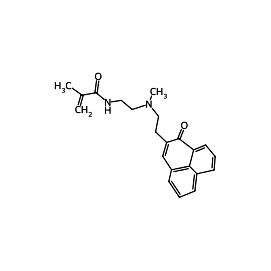 C=C(C)C(=O)NCCN(C)CCC1=Cc2cccc3cccc(c23)C1=O